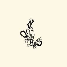 O=C(NC1(C(=O)N2CCC3C2C(=O)CN3S(=O)(=O)c2cccc[n+]2[O-])CCCCC1)Oc1cc2sccc2s1